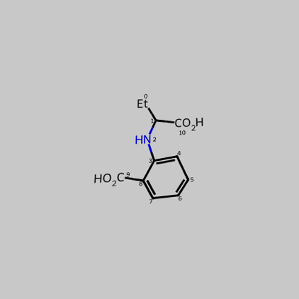 CCC(Nc1ccccc1C(=O)O)C(=O)O